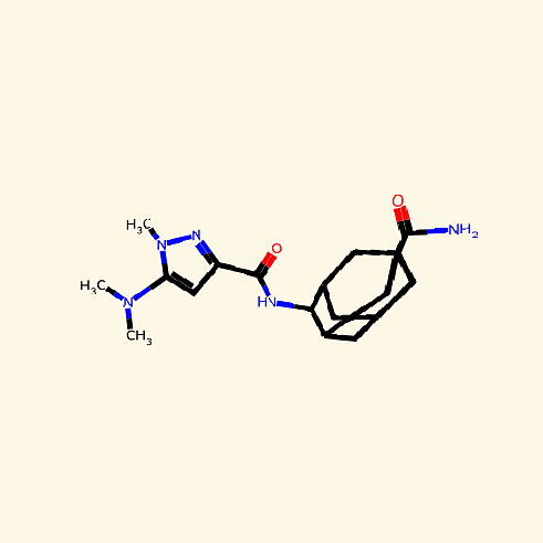 CN(C)c1cc(C(=O)NC2C3CC4CC2CC(C(N)=O)(C4)C3)nn1C